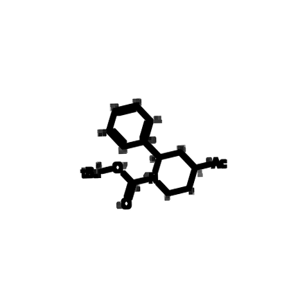 CC(=O)C1CCN(C(=O)OC(C)(C)C)C(c2ccccc2)C1